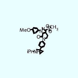 COc1ccc(-n2nc(S(C)(=O)=O)c3c2C(=O)N(c2ccc(C4(CNC(C)C)CC4)cc2)CC3)cc1